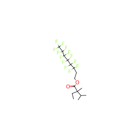 CCC(C)(C(=O)OCCC(F)(F)C(F)(F)C(F)(F)C(F)(F)C(F)(F)C(F)(F)F)C(C)C